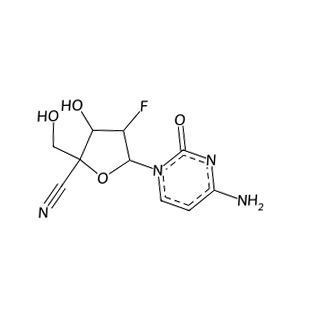 N#CC1(CO)OC(n2ccc(N)nc2=O)C(F)C1O